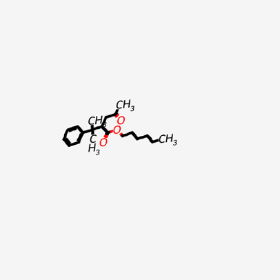 CCCCCCOC(=O)C(CC(C)=O)C(C)(C)c1ccccc1